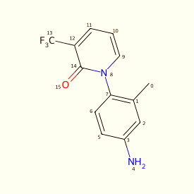 Cc1cc(N)ccc1-n1cccc(C(F)(F)F)c1=O